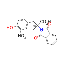 C[C@](Cc1ccc(O)c([N+](=O)[O-])c1)(C(=O)O)N1C(=O)c2ccccc2C1=O